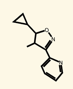 CC1C(c2ccccn2)=NOC1C1CC1